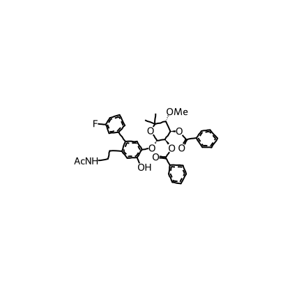 CO[C@@H]1[C@@H](OC(=O)c2ccccc2)[C@@H](OC(=O)c2ccccc2)[C@H](Oc2cc(-c3cccc(F)c3)c(CCNC(C)=O)cc2O)OC1(C)C